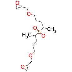 CC(CCCOCC1CO1)S(=O)(=O)C(C)CCCOCC1CO1